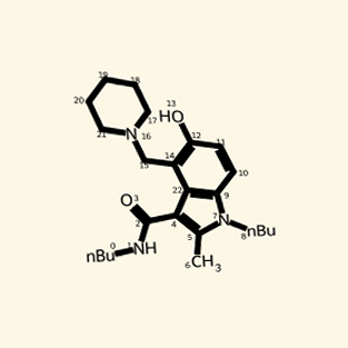 CCCCNC(=O)c1c(C)n(CCCC)c2ccc(O)c(CN3CCCCC3)c12